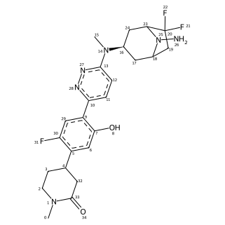 CN1CCC(c2cc(O)c(-c3ccc(N(C)[C@@H]4CC5CC(F)(F)C(C4)N5N)nn3)cc2F)CC1=O